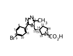 Cc1nnc(-c2ccc(Br)cc2)n1C[C@H]1CCN(C(=O)O)C1